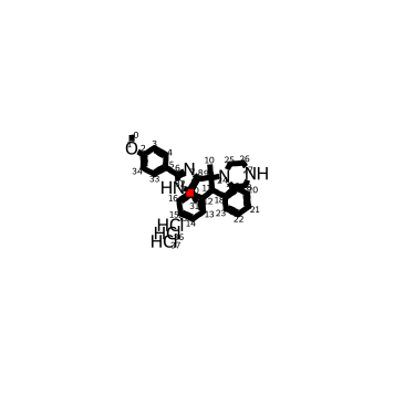 COc1ccc(-c2nc(C(C)(C(c3ccccc3)c3ccccc3)N3CCNCC3)c(C)[nH]2)cc1.Cl.Cl.Cl